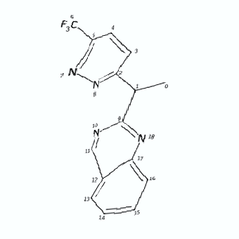 CC(c1ccc(C(F)(F)F)nn1)c1ncc2ccccc2n1